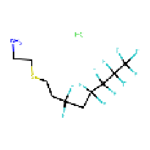 Cl.NCCSCCC(F)(F)CC(F)(F)C(F)(F)C(F)(F)C(F)(F)F